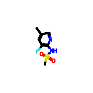 Cc1cnc(NS(C)(=O)=O)c(F)c1